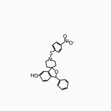 O=[N+]([O-])c1ccc(SN2CCC3(CC2)OC(c2ccccc2)c2ccc(O)cc23)cc1